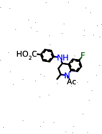 CC(=O)N1c2ccc(F)cc2C(Nc2ccc(C(=O)O)cc2)CC1C